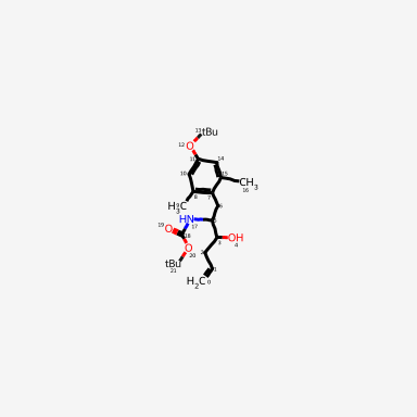 C=CCC(O)C(Cc1c(C)cc(OC(C)(C)C)cc1C)NC(=O)OC(C)(C)C